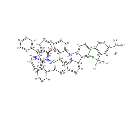 FC(F)(F)c1ccc(-c2ccc3c(c2)c2ccccc2n3-c2cccc(-c3cc(-c4ccccc4)nc(-c4ccccc4)n3)c2-c2ccccc2-n2c3ccccc3c3ccccc32)c(C(F)(F)F)c1